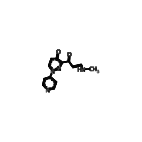 CNC=CC(=O)c1nn(-c2ccncc2)ccc1=O